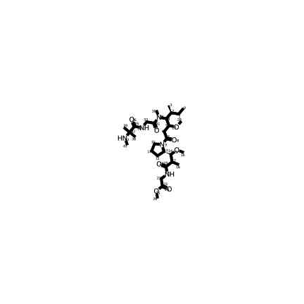 CC[C@H](C)C(C(CC(=O)N1CCC[C@H]1C(OC)C(C)C(=O)NCC(=O)OC)OC)N(C)C(=O)CNC(=O)C(C)(C)NC